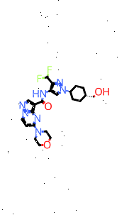 O=C(Nc1cn([C@H]2CC[C@H](CO)CC2)nc1C(F)F)c1cnn2ccc(N3CCOCC3)nc12